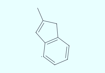 CC1=Cc2[c]cccc2C1